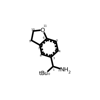 CC(C)(C)C(N)c1ccc2c(c1)CCO2